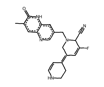 Cc1cc2ncc(CN3CC(=C4C=CNCC4)C=C(F)C3C#N)cc2[nH]c1=O